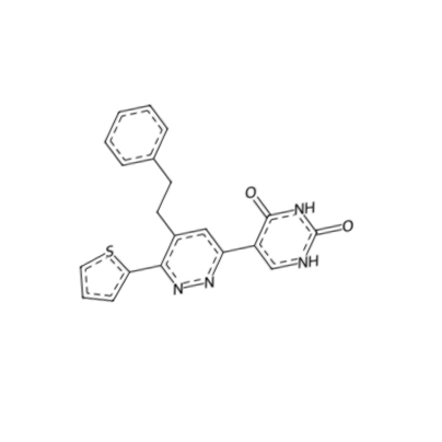 O=c1[nH]cc(-c2cc(CCc3ccccc3)c(-c3cccs3)nn2)c(=O)[nH]1